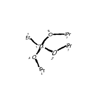 C[CH2][Zr]([O]C(C)C)([O]C(C)C)[O]C(C)C